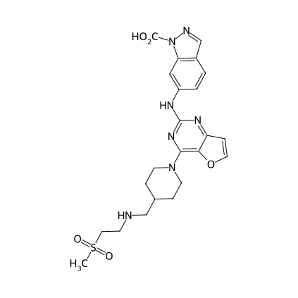 CS(=O)(=O)CCNCC1CCN(c2nc(Nc3ccc4cnn(C(=O)O)c4c3)nc3ccoc23)CC1